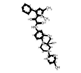 Cc1cc(-c2ccccc2)c(C(=O)C(=O)Nc2ccc3c(c2)OC[C@@H]2CN(c4ncc(O)cn4)CCN32)n1C